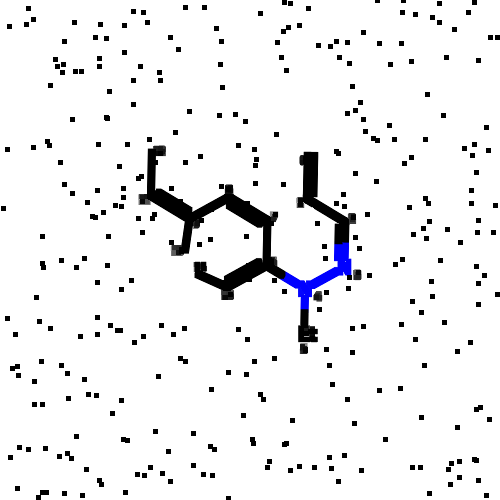 C=C/C=N\N(CC)C(/C=C\C(C)=C/C)=C/C